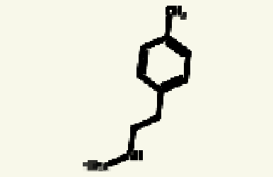 CCCCCCNCCc1ccc(C)cc1